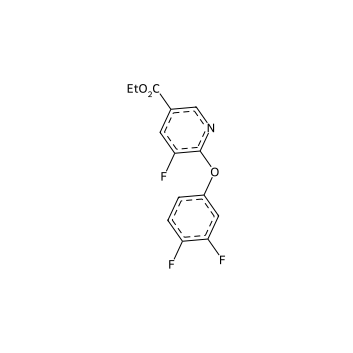 CCOC(=O)c1cnc(Oc2ccc(F)c(F)c2)c(F)c1